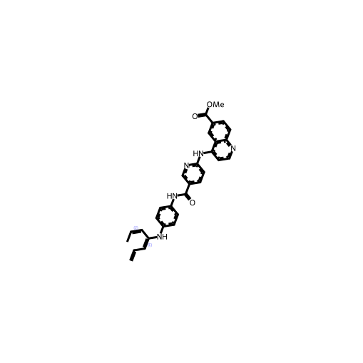 C=C/C=C(\C=C/C)Nc1ccc(NC(=O)c2ccc(Nc3ccnc4ccc(C(=O)OC)cc34)nc2)cc1